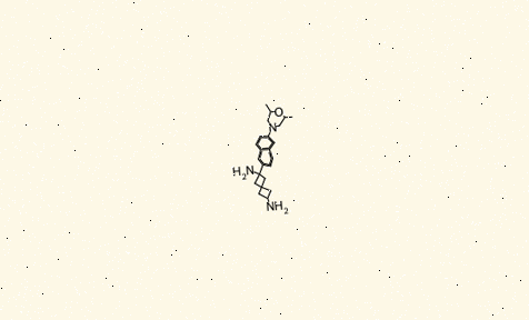 CC1CN(c2ccc3cc(C4(N)CC5(CC(N)C5)C4)ccc3c2)CC(C)O1